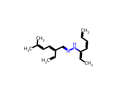 C=C/C=C\C(=C/C)N/N=C/C(C=C)=C/C=C(C)C